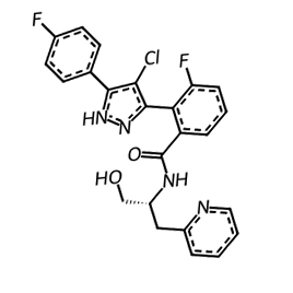 O=C(N[C@@H](CO)Cc1ccccn1)c1cccc(F)c1-c1n[nH]c(-c2ccc(F)cc2)c1Cl